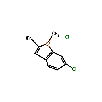 CC(C)c1cc2ccc(Cl)cc2[s+]1C(F)(F)F.[Cl-]